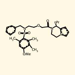 CCCC1c2cccn2CCN1C(=O)COCCN(Cc1ccccc1)S(=O)(=O)c1c(C)cc(OC)c(C)c1C